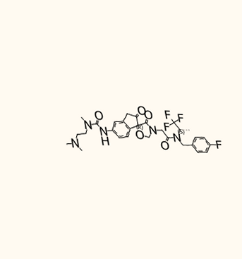 C[C@H](N(Cc1ccc(F)cc1)C(=O)CN1CO[C@]2(C(=O)Cc3cc(NC(=O)N(C)CCN(C)C)ccc32)C1=O)C(F)(F)F